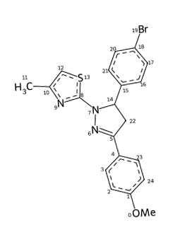 COc1ccc(C2=NN(c3nc(C)cs3)C(c3ccc(Br)cc3)C2)cc1